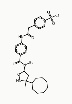 CCN(C(=O)c1ccc(NC(=O)Cc2ccc(S(=O)(=O)CC)cc2)cc1)C1CC(C)(C2CCCCCCC2)NO1